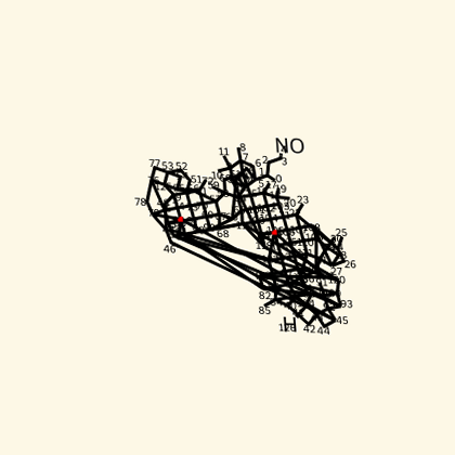 CC(CCN=O)C12CC3(C)C(C)(C)C45C3(C)C36C7(C)C(C)(C)C89C%10(C)C%11(C)CC%12%13CC%14(C)C%12%15C%12C%16%17C%18C%19(C)C%20%21C%16%22C%18%16C%18[C@H]%23CC%24%25CC%26%27CC%28%29CC%30%31C%32%33CCC%34%35CC%36%37CC%38%39C%40(C)CC%41(C1)C24C%403C12C%413C%38(C)C4%38C%39(C%36%32C)C%33%32C%30%33C%30%36C(C%34)(CC%28%30C%28%30C%29%26C%26%29C%34(C%18(C)C%22%26C%20%18C%29%20C%22%26C%34(C)C%24%27C%22%28C%22%24C%36%30C%33%27C4%32C4%28C3%38C3%29C61C7(C)C83C13C96C%107C%11%13C%12%14C78C%17%15C%197C%219C1(C786)C1(C%293C53C24C%26(C3%201)C%27%22%28)C%189%24)C%23%25%16)C%35%37%31